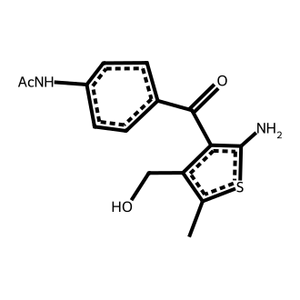 CC(=O)Nc1ccc(C(=O)c2c(N)sc(C)c2CO)cc1